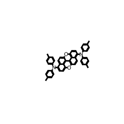 Cc1ccc(N(c2ccc(C)cc2)c2ccc3oc4ccc5c(N(c6ccc(C)cc6)c6ccc(C)cc6)ccc6oc7ccc2c3c7-c4c65)cc1